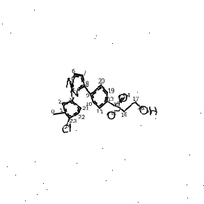 Cc1cc(-n2nccc2-c2ccc(S(=O)(=O)CCO)cc2)ccc1Cl